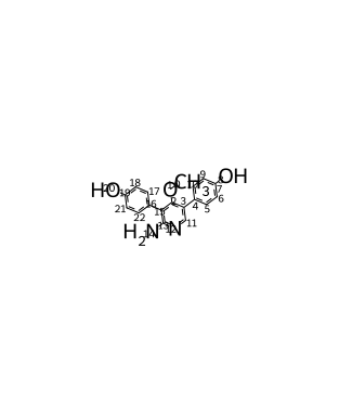 COc1c(-c2ccc(O)cc2)cnc(N)c1-c1ccc(O)cc1